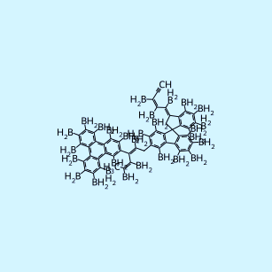 B/C(C)=C(B)/C(=C(/B)Cc1c(B)c(B)c2c(c1B)-c1c(B)c(B)c(B)c(B)c1C21C/C(=C(B)\C(B)=C(\B)C#C)c2c(B)c(B)c(B)c(B)c21)c1c(B)c(B)c2c3c(B)c(B)c(B)c(B)c3c3c(B)c(B)c(B)c(B)c3c2c1B